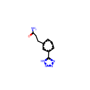 NC(=O)CCc1cccc(-c2nnn[nH]2)c1